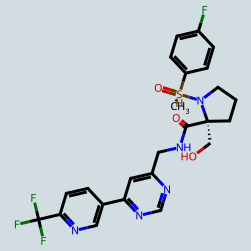 C[SH](=O)(c1ccc(F)cc1)N1CCC[C@@]1(CO)C(=O)NCc1cc(-c2ccc(C(F)(F)F)nc2)ncn1